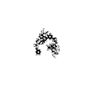 CCn1c(-c2cc(N3CCN(C(=O)OCc4ccccc4)CC3)cnc2[C@H](C)OC)c(CC(C)(C)CO)c2cc(-c3csc(C[C@H](NC(=O)OC(C)(C)C)C(=O)N4CCC[C@@H](C(=O)OC)N4)n3)ccc21